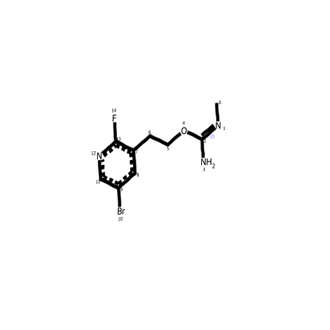 C/N=C(/N)OCCc1cc(Br)cnc1F